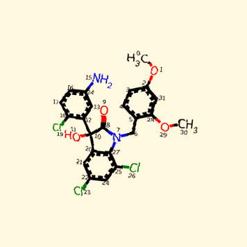 COc1ccc(CN2C(=O)C(O)(c3cc(N)ccc3Cl)c3cc(Cl)cc(Cl)c32)c(OC)c1